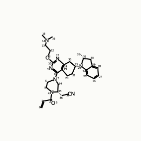 C=CC(=O)N1CCN(c2nc(OCCN(C)C)nc3c2CC[C@@H](N2c4ccccc4C[C@H]2C)C3)C[C@@H]1CC#N